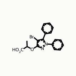 CC(Oc1nn(-c2ccccc2)c(-c2ccccc2)c1Br)C(=O)O